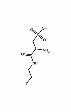 NC(CS(=O)(=O)O)C(=O)NCCI